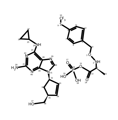 C[C@H](NOCc1ccc(SC(F)(F)F)cc1)C(=O)OP(=O)(O)O.Nc1nc(NC2CC2)c2ncn([C@H]3C=C[C@@H](CO)C3)c2n1